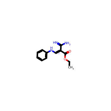 CCOC(=O)/C(=C/Nc1ccccc1)C(=N)N